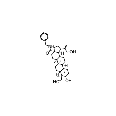 C=C(CO)[C@@H]1CC[C@]2(C(=O)NCc3ccccc3)CC[C@]3(C)C(CC[C@@H]4[C@@]5(C)CC[C@H](O)[C@@](C)(CO)[C@@H]5CC[C@]43C)[C@@H]12